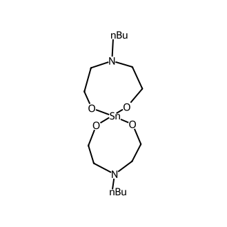 CCCCN1CC[O][Sn]2([O]CC1)[O]CCN(CCCC)CC[O]2